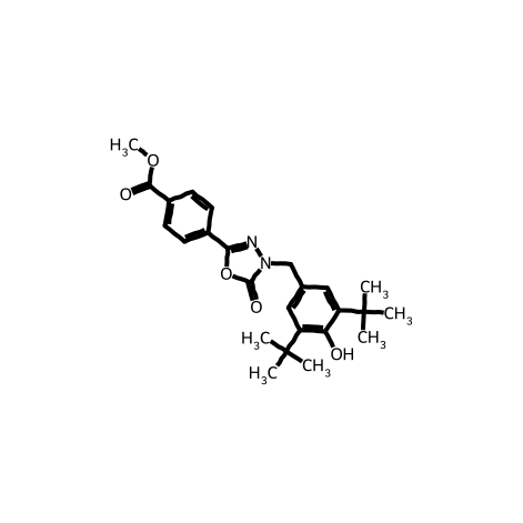 COC(=O)c1ccc(-c2nn(Cc3cc(C(C)(C)C)c(O)c(C(C)(C)C)c3)c(=O)o2)cc1